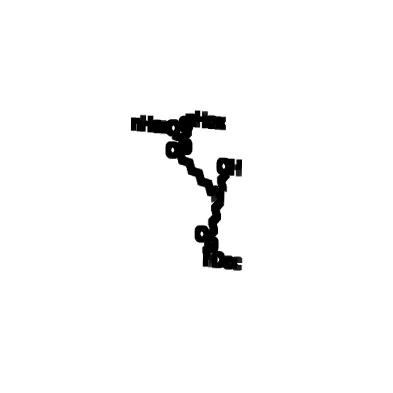 CCCCCCCCCCCOC(=O)CCCCCN(CCCO)CCCCCCCC(=O)OC(COCCCCCC)COCCCCCC